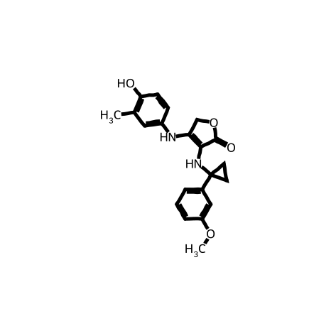 COc1cccc(C2(NC3=C(Nc4ccc(O)c(C)c4)COC3=O)CC2)c1